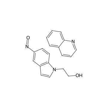 O=Nc1ccc2c(ccn2CCO)c1.c1ccc2ncccc2c1